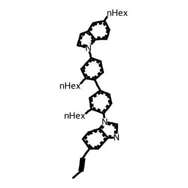 CC#Cc1ccc2c(c1)ncn2-c1ccc(-c2ccc(-n3ccc4cc(CCCCCC)ccc43)cc2CCCCCC)cc1CCCCCC